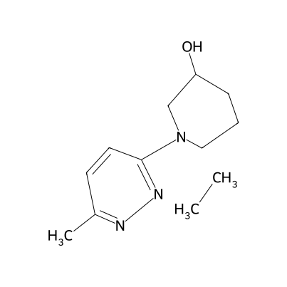 CC.Cc1ccc(N2CCCC(O)C2)nn1